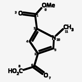 COC(=O)c1cc(C(=O)C(=O)O)cn1C